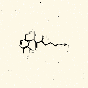 Cc1ncc(CO)c(C(=N)C(=O)[C@@H](N)CCCCN)c1O